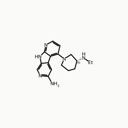 CCN[C@@H]1CCCN(c2ccnc3[nH]c4cnc(N)cc4c23)C1